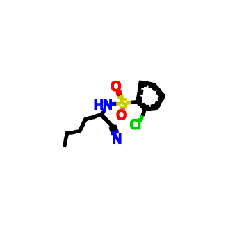 CCCCC(C#N)NS(=O)(=O)c1ccccc1Cl